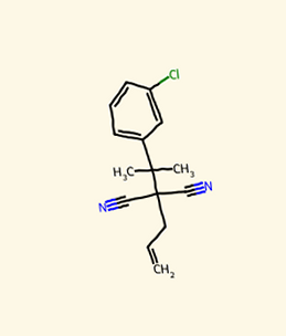 C=CCC(C#N)(C#N)C(C)(C)c1cccc(Cl)c1